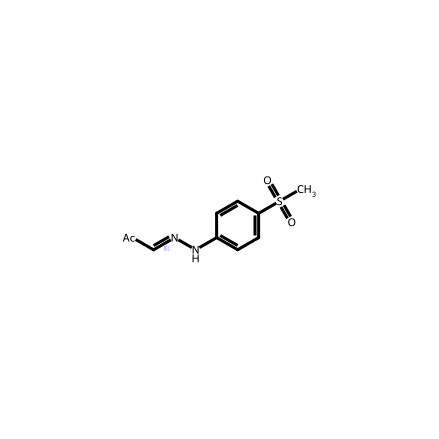 CC(=O)/C=N/Nc1ccc(S(C)(=O)=O)cc1